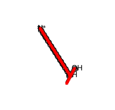 CCCCCCCCCCCC(CCCCCCCCCCC(=O)O)C(=O)NCOCCOCCOCCOCCOCCOCCOCCOCCOCCOCCOCCOCCOCCOCCOCCOCCOCCOCCOCCOCCOCCOCCOCCN=[N+]=[N-]